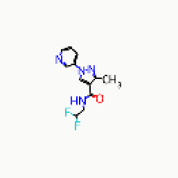 Cc1nn(-c2cccnc2)cc1C(=O)NCC(F)F